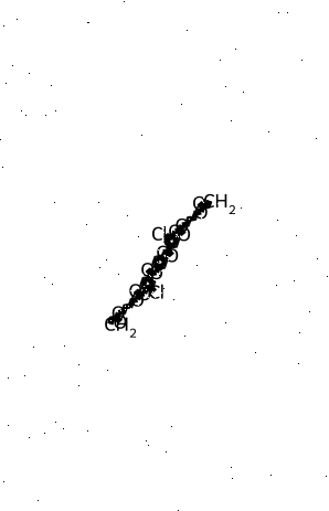 C=CC(=O)OCCCCOC(=O)Oc1ccc(C(=O)OC2=CC[C@H](OC(=O)c3ccc(OC(=O)OCCCCOC(=O)C=C)c(Cl)c3)C=C2)cc1Cl